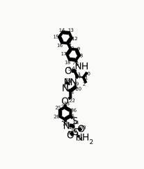 CC(C)[C@H](C(=O)Nc1ccc(-c2ccccc2)cc1)n1cc(COc2ccc3nc(S(N)(=O)=O)sc3c2)nn1